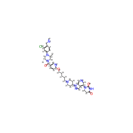 C=NCc1ccc(N2C[C@@H](C)N(C(=O)c3ccc(OCCCCCN4CCC(n5ncc6c(N7CCC(=O)NC7=O)cncc65)CC4)nc3)C[C@@H]2C)cc1Cl